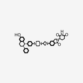 O=C1CCC(N2Cc3cc(N4CC(N5CCN(c6ccc([C@@H]7c8ccc(O)cc8CC[C@@H]7c7ccccc7)cc6)CC5)C4)ccc3C2=O)C(=O)N1